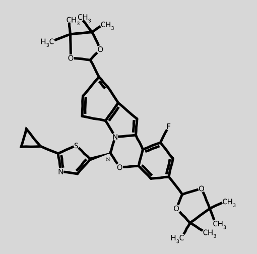 CC1(C)OC(c2cc(F)c3c(c2)O[C@@H](c2cnc(C4CC4)s2)n2c-3cc3cc(C4OC(C)(C)C(C)(C)O4)ccc32)OC1(C)C